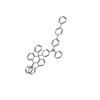 C1=CC(c2ccc(N(C3=CCC(C4(c5ccccc5)c5ccccc5C5(c6ccccc6)c6ccccc6-c6cccc4c65)C=C3)c3ccccc3)cc2)CC=C1c1ccccc1